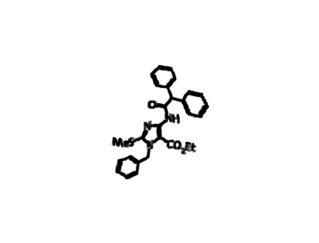 CCOC(=O)c1c(NC(=O)C(c2ccccc2)c2ccccc2)nc(SC)n1Cc1ccccc1